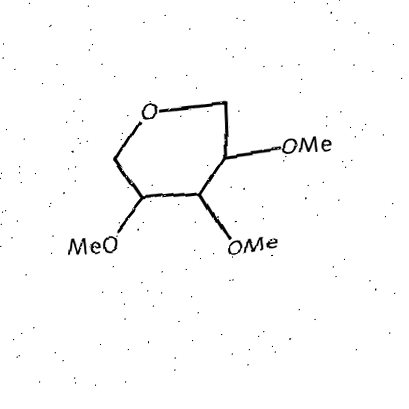 COC1COCC(OC)C1OC